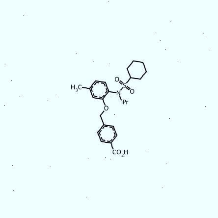 Cc1ccc(N(C(C)C)S(=O)(=O)C2CCCCC2)c(OCc2ccc(C(=O)O)cc2)c1